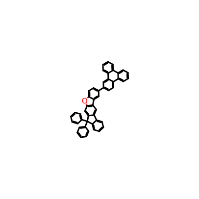 c1ccc(C2(c3ccccc3)c3ccccc3-c3cc4c(cc32)oc2ccc(-c3ccc5c6ccccc6c6ccccc6c5c3)cc24)cc1